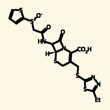 CCc1nnc(SCC2=C(C(=O)O)N3C(=O)C(NC(=O)C[S+]([O-])c4cccs4)[C@@H]3SC2)s1